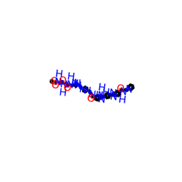 CC(C)(C)OC(=O)NCC(=O)NCC(=O)NCc1cn(CCN2CCN(CCNC(=O)c3ccc4nc(-c5ccc(-c6nc7ccc(C(=O)NCCN8CCCCC8)cc7[nH]6)cc5)[nH]c4c3)CC2)nn1